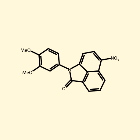 COc1ccc(N2C(=O)c3cccc4c([N+](=O)[O-])ccc2c34)cc1OC